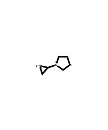 C1CCN(C2CN2)C1